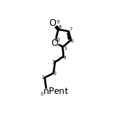 CCCCCCCCCC1C=CC(=O)O1